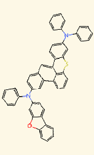 c1ccc(N(c2ccccc2)c2ccc3c(c2)Sc2cccc4c2c-3cc2ccc(N(c3ccccc3)c3ccc5c(c3)oc3ccccc35)cc24)cc1